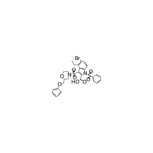 CCc1c(Br)ccc2c1c(S(=O)(=O)N1CCOC(COc3ccccc3)C1)c(C(=O)O)n2S(=O)(=O)c1ccccc1